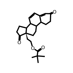 CC(C)(C)C(=O)OCC[C@]12CCC3C4CCC(=O)C=C4C=CC3C1CCC2=O